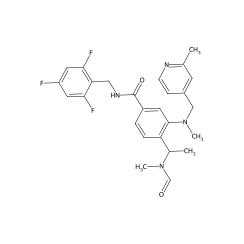 Cc1cc(CN(C)c2cc(C(=O)NCc3c(F)cc(F)cc3F)ccc2C(C)N(C)C=O)ccn1